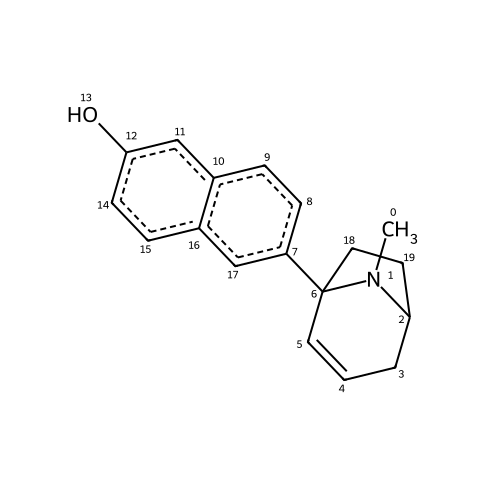 CN1C2CC=CC1(c1ccc3cc(O)ccc3c1)CC2